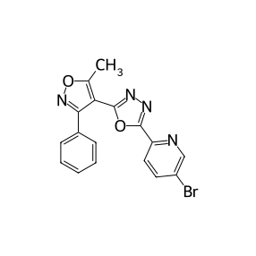 Cc1onc(-c2ccccc2)c1-c1nnc(-c2ccc(Br)cn2)o1